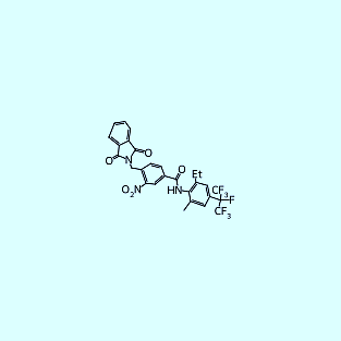 CCc1cc(C(F)(C(F)(F)F)C(F)(F)F)cc(C)c1NC(=O)c1ccc(CN2C(=O)c3ccccc3C2=O)c([N+](=O)[O-])c1